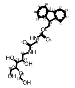 O=C(CNC(=O)OCC1c2ccccc2-c2ccccc21)NCC(O)C(O)C(CO)OCO